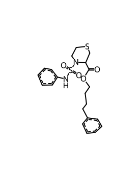 O=C(OCCCCc1ccccc1)C1CSCCN1S(=O)(=O)Nc1ccccc1